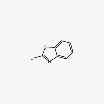 [Li][c]1nc2ccccc2s1